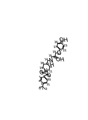 CC(C)c1ccc(S(=O)(=O)N2CCC(CNC[C@@H](O)COc3ccc(O)cc3)CC2)cc1